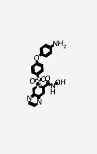 Nc1ccc(Oc2ccc(S(=O)(=O)N3Cc4nccnc4CC3C(=O)NO)cc2)cc1